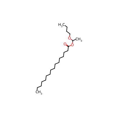 CCCCCCCCCCCCCCCC(=O)OC(C)OCCCC